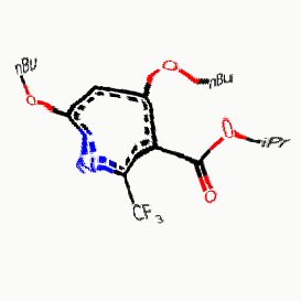 CCCCOc1cc(OCCCC)c(C(=O)OC(C)C)c(C(F)(F)F)n1